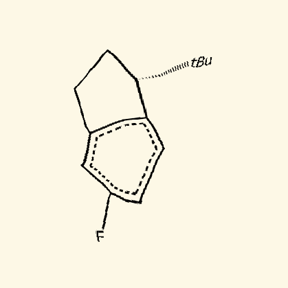 CC(C)(C)[C@H]1CCc2cc(F)ccc21